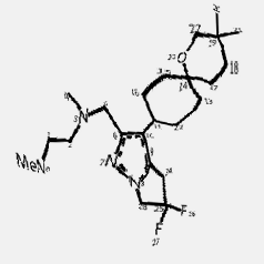 CNCCN(C)Cc1nn2c(c1C1CCC3(CC1)CCC(C)(C)CO3)CC(F)(F)C2